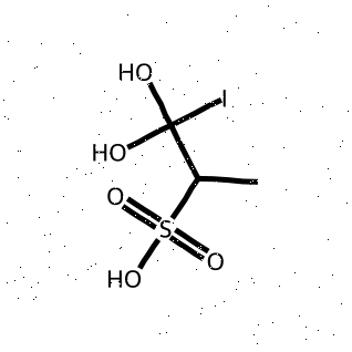 CC(C(O)(O)I)S(=O)(=O)O